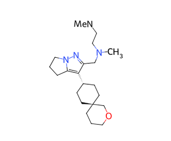 CNCCN(C)Cc1nn2c(c1[C@H]1CC[C@@]3(CCCOC3)CC1)CCC2